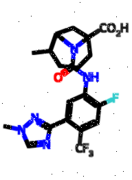 CC1CCCC2(C(=O)O)CC1N2C(=O)Nc1cc(-c2ncn(C)n2)c(C(F)(F)F)cc1F